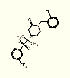 CC(C)([C@H]1CCN(Cc2ccccc2Cl)C(=O)C1)S(=O)(=O)c1cccc(C(F)(F)F)c1